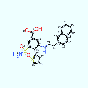 NS(=O)(=O)c1cc(C(=O)O)cc(NCCc2ccc3ccccc3c2)c1-c1cccs1